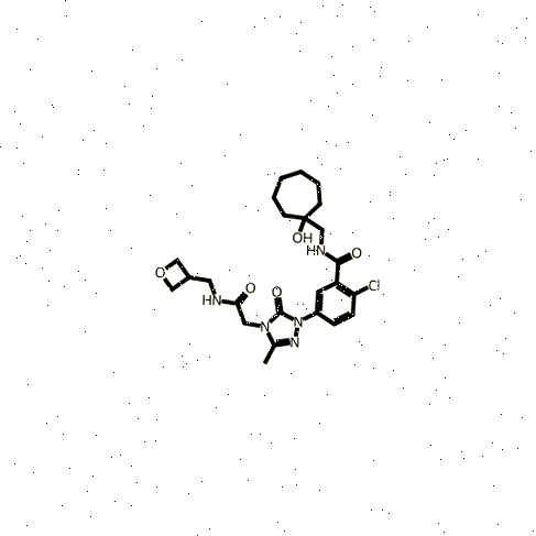 Cc1nn(-c2ccc(Cl)c(C(=O)NCC3(O)CCCCCC3)c2)c(=O)n1CC(=O)NCC1COC1